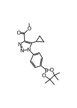 COC(=O)c1nnn(-c2ccc(B3OC(C)(C)C(C)(C)O3)cc2)c1C1CC1